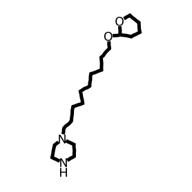 C(CCCCCN1CCNCC1)CCCCOC1CCCCO1